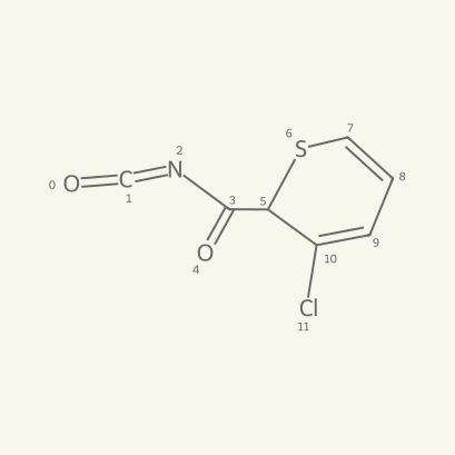 O=C=NC(=O)C1SC=CC=C1Cl